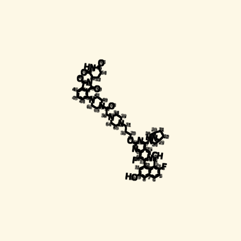 C#Cc1c(F)ccc2cc(O)cc(-c3ncc4c(N5CC6CCC(C5)N6)nc(OCCCN5CCN(CC(=O)N6CCN(c7cccc8c7C(=O)N(C7CCC(=O)NC7=O)C8=O)CC6)CC5)nc4c3F)c12